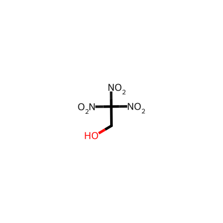 O=[N+]([O-])C(CO)([N+](=O)[O-])[N+](=O)[O-]